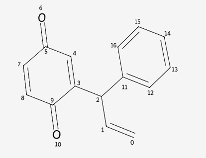 C=CC(C1=CC(=O)C=CC1=O)c1ccccc1